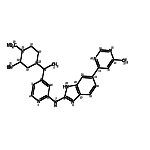 CC(c1ccnc(Nc2nc3ccc(-c4cc(C(F)(F)F)ncn4)cc3[nH]2)c1)N1CCN(C(=O)O)C(C(C)(C)C)C1